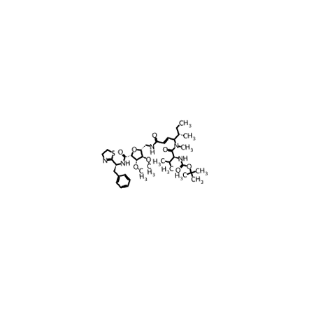 CC[C@H](C)C(/C=C/C(=O)NC[C@H]1O[C@@H](C(=O)N[C@@H](Cc2ccccc2)C2=NCCS2)[C@@H](OC)[C@@H]1OC)N(C)C(=O)[C@@H](NC(=O)OC(C)(C)C)C(C)C